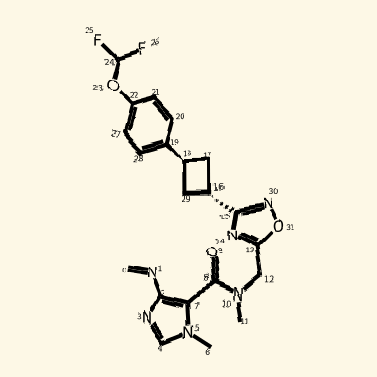 C=Nc1ncn(C)c1C(=O)N(C)Cc1nc([C@H]2C[C@H](c3ccc(OC(F)F)cc3)C2)no1